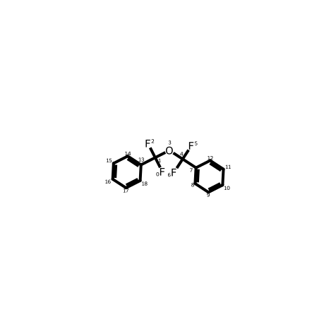 FC(F)(OC(F)(F)c1ccccc1)c1ccccc1